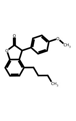 CCCCc1cccc2c1C(c1ccc(OC)cc1)C(=O)O2